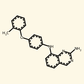 Cc1ccccc1Oc1ccc(Nc2cccc3cnc(N)nc23)cc1